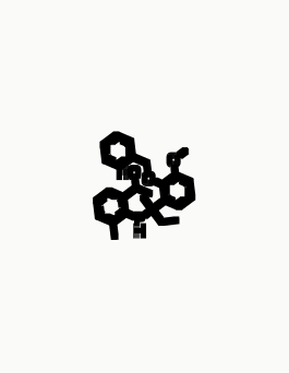 CCC(C)(Pc1c(C)cccc1C(C)O)c1cccc(OC)c1OCc1ccccc1